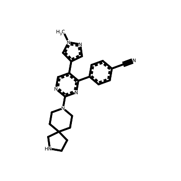 Cn1cc(-c2cnc(N3CCC4(CCNC4)CC3)nc2-c2ccc(C#N)cc2)cn1